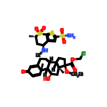 CCN[C@H]1C[C@H](C)S(=O)(=O)c2sc(S(N)(=O)=O)cc21.CCOC(=O)O[C@]1(C(=O)OCCl)CC[C@H]2[C@@H]3CCC4=CC(=O)C=C[C@]4(C)[C@H]3[C@@H](O)C[C@@]21C